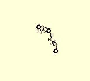 Cc1cccc(O[C@@H](Cc2ccc(OCCN[C@H]3[C@@H]4CN(Cc5ccc(F)cc5)C[C@@H]43)cc2)C(=O)O)c1